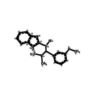 COc1cccc(C(N(C)C)[S+]([O-])c2nc3ccccc3[nH]2)c1